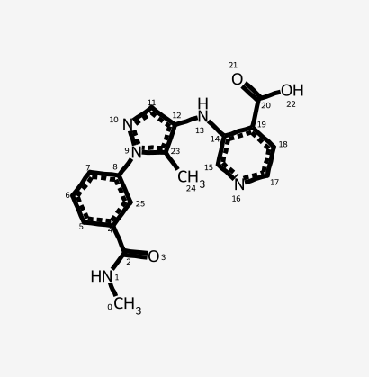 CNC(=O)c1cccc(-n2ncc(Nc3cnccc3C(=O)O)c2C)c1